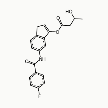 CC(O)CC(=O)OC1=CCc2ccc(NC(=O)c3ccc(F)cc3)cc21